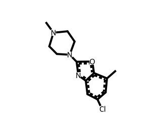 Cc1cc(Cl)cc2nc(N3CCN(C)CC3)oc12